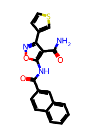 NC(=O)c1c(-c2ccsc2)noc1NC(=O)c1ccc2ccccc2c1